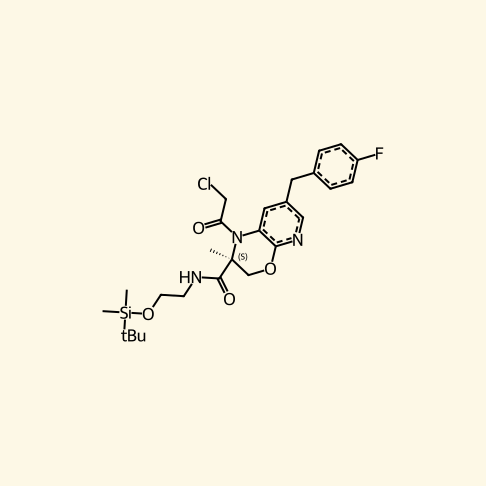 CC(C)(C)[Si](C)(C)OCCNC(=O)[C@]1(C)COc2ncc(Cc3ccc(F)cc3)cc2N1C(=O)CCl